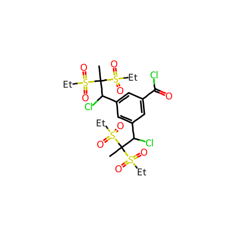 CCS(=O)(=O)C(C)(C(Cl)c1cc(C(=O)Cl)cc(C(Cl)C(C)(S(=O)(=O)CC)S(=O)(=O)CC)c1)S(=O)(=O)CC